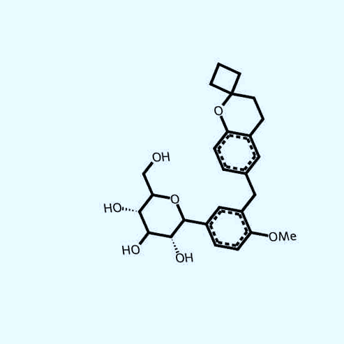 COc1ccc(C2OC(CO)[C@@H](O)C(O)[C@H]2O)cc1Cc1ccc2c(c1)CCC1(CCC1)O2